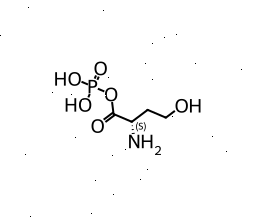 N[C@@H](CCO)C(=O)OP(=O)(O)O